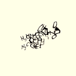 CCOC(C)(C)CC(C)(C)NC(=O)CC(C)(C)c1ccc(N2C(=O)C=CC2=O)cc1